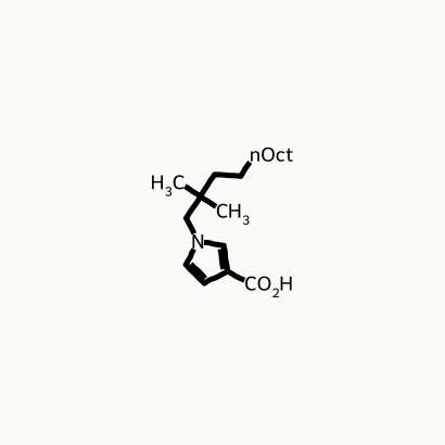 CCCCCCCCCCC(C)(C)Cn1ccc(C(=O)O)c1